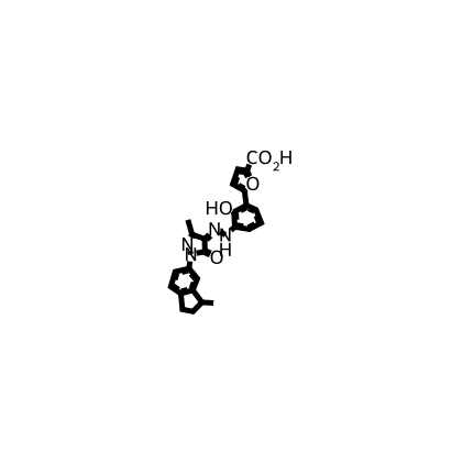 CC1=NN(c2ccc3c(c2)C(C)CC3)C(=O)/C1=N\Nc1cccc(-c2ccc(C(=O)O)o2)c1O